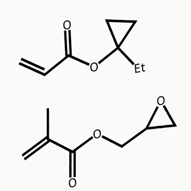 C=C(C)C(=O)OCC1CO1.C=CC(=O)OC1(CC)CC1